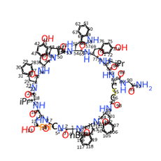 CCCC[C@H]1C(=O)N(C)CC(=O)N[C@@H](CC(O)=P)C(=O)N[C@@H](C(C)C)C(=O)N(C)[C@@H](Cc2ccccc2)C(=O)N[C@@H](Cc2ccc(O)cc2)C(=O)N2CCC[C@@H]2C(=O)N[C@@H](Cc2c[nH]c3ccccc23)C(=O)N[C@@H](Cc2ccc(O)cc2)C(=O)N[C@@H](CC(C)C)C(=O)N[C@H](C(=O)NCC(N)=O)CSCC(=O)N[C@@H](Cc2ccccc2)C(=O)N(C)[C@@H](Cc2ccccc2)C(=O)N1C